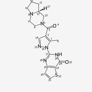 Cc1c(C(=O)N2CCN3CCC[C@@H]3C2)cnn1-c1nc2ccsc2c(=O)[nH]1